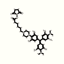 [2H]C1=CC(=C(c2cc([2H])c(N(C)C)c([2H])c2)c2cc([2H])c(N3CCN(CCCCCC(=O)ON4C(=O)CCC4=O)CC3)c([2H])c2)C=C([2H])C1N(C)C